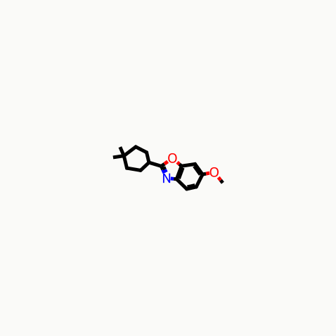 COc1ccc2nc(C3CCC(C)(C)CC3)oc2c1